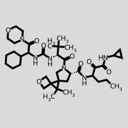 CCCC(NC(=O)[C@@H]1CC2(CN1C(=O)[C@H](NC(=O)NC(C(=O)N1CCOCC1)C1CCCCC1)C(C)(C)C)C(C)(C)C21COC1)C(=O)C(=O)NC1CC1